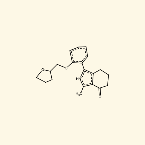 Cc1[nH]c(-c2ccccc2OCC2CCCO2)c2c1C(=O)CCC2